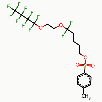 Cc1ccc(S(=O)(=O)OCCCCC(F)(F)OCCOC(F)(F)C(F)(F)C(F)(F)C(F)(F)F)cc1